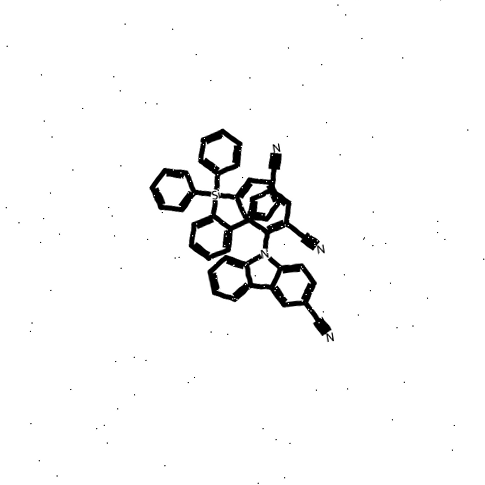 N#Cc1cc(C#N)c(-n2c3ccccc3c3cc(C#N)ccc32)c(-c2ccccc2[Si](c2ccccc2)(c2ccccc2)c2ccccc2)c1